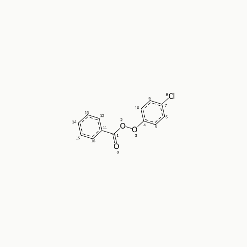 O=C(OOc1ccc(Cl)cc1)c1ccccc1